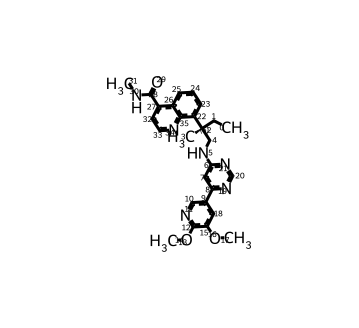 CC[C@](C)(CNc1cc(-c2cnc(OC)c(OC)c2)ncn1)c1cccc2c(C(=O)NC)ccnc12